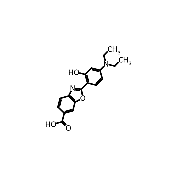 CCN(CC)c1ccc(-c2nc3ccc(C(=O)O)cc3o2)c(O)c1